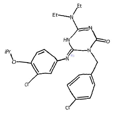 CCN(CC)c1nc(=O)n(Cc2ccc(Cl)cc2)/c(=N/c2ccc(OC(C)C)c(Cl)c2)[nH]1